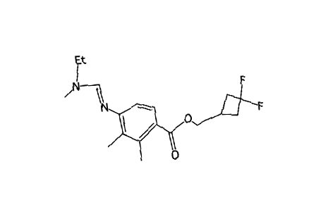 CCN(C)/C=N/c1ccc(C(=O)OCC2CC(F)(F)C2)c(C)c1C